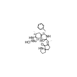 CCCCNC(=O)[C@H](C)C[C@H](O)[C@H](Cc1ccccc1)NC(=O)[C@H](C)N1CC[C@]2(CCCN2)C1=O.Cl